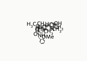 C=C(C)[C@@H]1CC[C@]2(C(=O)NCc3ccccc3OC)CC[C@]3(C)[C@H](CC[C@@H]4[C@@]5(C)CC[C@H](O)C(C)(C)[C@@H]5CC[C@]43C)[C@@H]12